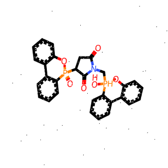 O=C1CC(P2(=O)Oc3ccccc3-c3ccccc32)C(=O)N1C[PH]1(O)Oc2ccccc2-c2ccccc21